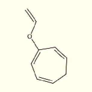 C=COC1=CC=CCC=C1